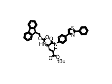 CC(C)(C)OC(=O)CC[C@@H](NC(=O)OCC1c2ccccc2-c2ccccc21)C(=O)Nc1ccc(-c2csc(-c3ccccc3)n2)cc1